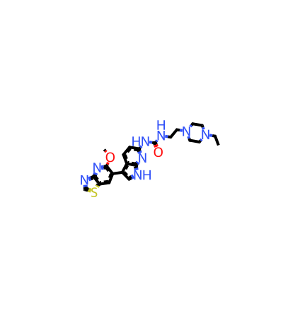 CCN1CCN(CCNC(=O)Nc2ccc3c(-c4cc5scnc5nc4OC)c[nH]c3n2)CC1